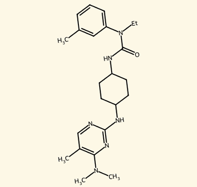 CCN(C(=O)NC1CCC(Nc2ncc(C)c(N(C)C)n2)CC1)c1cccc(C)c1